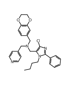 CCCCn1c(-c2ccccc2)nc(Cl)c1CN(Cc1ccncc1)Cc1ccc2c(c1)OCCO2